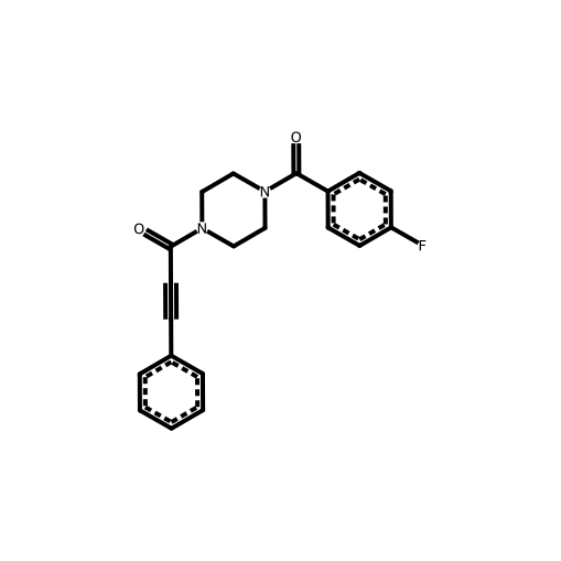 O=C(C#Cc1ccccc1)N1CCN(C(=O)c2ccc(F)cc2)CC1